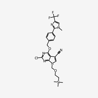 Cn1cc(C(F)(F)F)nc1-c1ccc(COc2nc(Cl)nc3c2c(C#N)cn3COCC[Si](C)(C)C)cc1